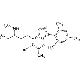 CCC(CCc1c(Br)c(C)nc2c1nnn2-c1c(C)cc(C)cc1C)NC